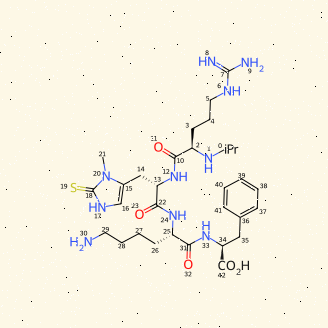 CC(C)N[C@H](CCCNC(=N)N)C(=O)N[C@@H](Cc1c[nH]c(=S)n1C)C(=O)N[C@@H](CCCCN)C(=O)N[C@@H](Cc1ccccc1)C(=O)O